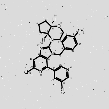 FC(F)(F)c1ccc(Cn2c(N3CCO[C@@H]4CCC[C@H]43)nc3cc(Cl)nc(-c4cncc(Cl)c4)c32)cc1